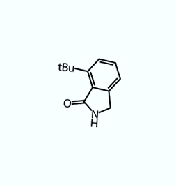 CC(C)(C)c1cccc2c1C(=O)NC2